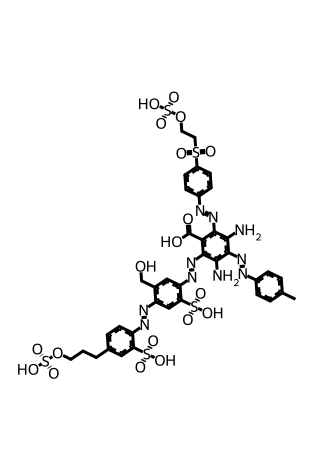 Cc1ccc(N=Nc2c(N)c(N=Nc3ccc(S(=O)(=O)CCOS(=O)(=O)O)cc3)c(C(=O)O)c(N=Nc3cc(CO)c(N=Nc4ccc(CCCOS(=O)(=O)O)cc4S(=O)(=O)O)cc3S(=O)(=O)O)c2N)cc1